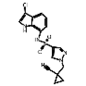 N#CC1(Cn2cc(S(=O)(=O)Nc3cccc4c(Cl)c[nH]c34)cn2)CC1